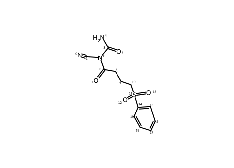 N#CN(C(N)=O)C(=O)[CH]CCS(=O)(=O)c1ccccc1